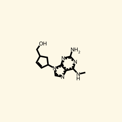 CNc1nc(N)nc2c1ncn2C1C=CC(CO)C1